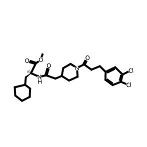 COC(=O)[C@H](CC1CCCCC1)NC(=O)CC1CCN(C(=O)CCc2ccc(Cl)c(Cl)c2)CC1